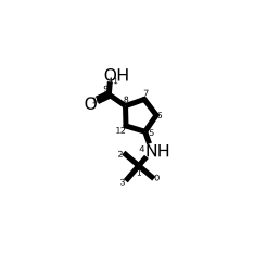 CC(C)(C)NC1CCC(C(=O)O)C1